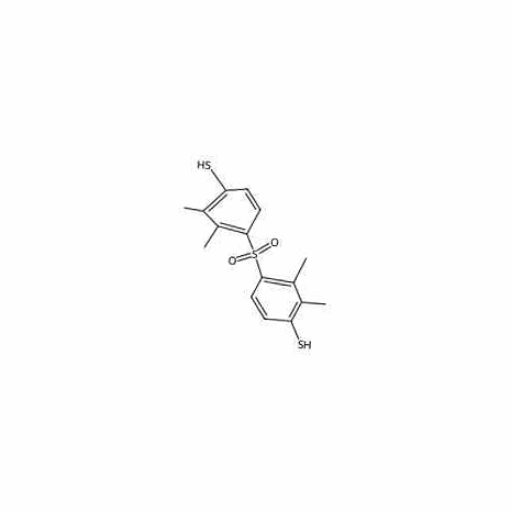 Cc1c(S)ccc(S(=O)(=O)c2ccc(S)c(C)c2C)c1C